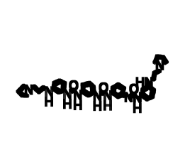 O=C(Nc1cccc(NCCCN2CCCC2)c1)Nc1cccc(NC(=O)Nc2cccc(NC(=O)Nc3cccc(NCCCN4CCCC4)c3)c2)c1